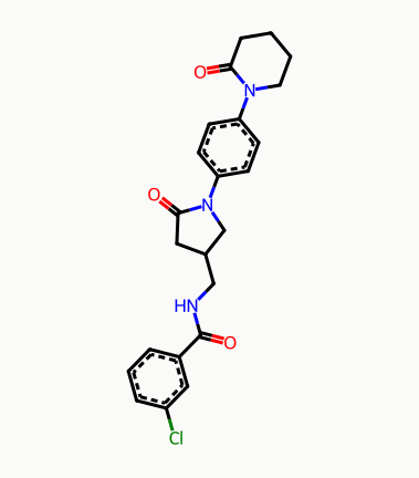 O=C(NCC1CC(=O)N(c2ccc(N3CCCCC3=O)cc2)C1)c1cccc(Cl)c1